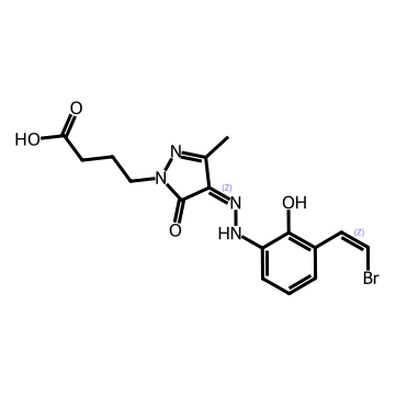 CC1=NN(CCCC(=O)O)C(=O)/C1=N\Nc1cccc(/C=C\Br)c1O